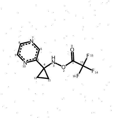 O=C(ONC1(c2cnccn2)CC1)C(F)(F)F